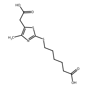 Cc1nc(SCCCCCC(=O)O)sc1CC(=O)O